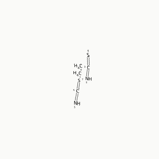 C.C.N=C=S.N=C=S